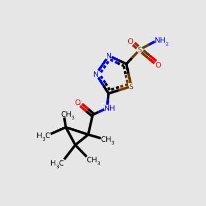 CC1(C)C(C)(C)C1(C)C(=O)Nc1nnc(S(N)(=O)=O)s1